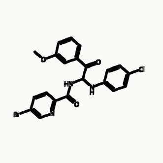 COc1cccc(C(=O)C(NC(=O)c2ccc(Br)cn2)Nc2ccc(Cl)cc2)c1